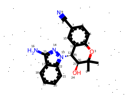 CC1(C)Oc2ccc(C#N)cc2[C@@H](n2nc(N)c3ccccc32)[C@@H]1O